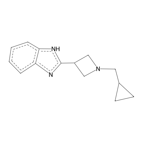 c1ccc2[nH]c(C3CN(CC4CC4)C3)nc2c1